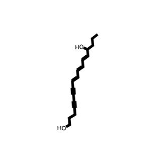 CCCC(O)/C=C/C=C/C=C/C#CC#CCCCO